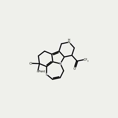 CCCCCC1(Cl)CCC2=C3CNCC(C(=O)C(F)(F)F)C3N3CC=CSC1=C23